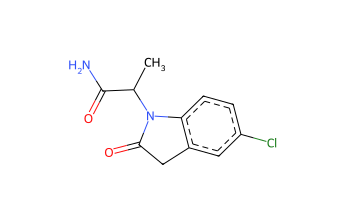 CC(C(N)=O)N1C(=O)Cc2cc(Cl)ccc21